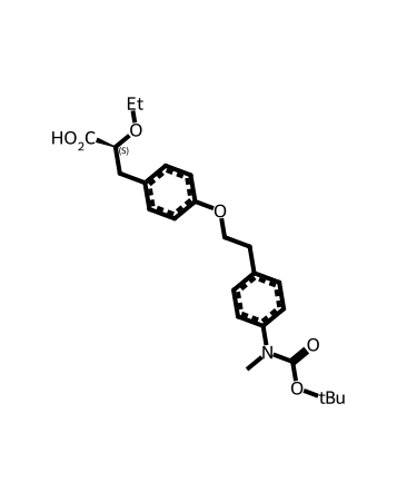 CCO[C@@H](Cc1ccc(OCCc2ccc(N(C)C(=O)OC(C)(C)C)cc2)cc1)C(=O)O